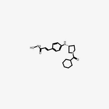 O=C(C=Cc1ccc(N[C@@H]2CCN(C(=O)C3CCCCC3)C2)cc1)NO